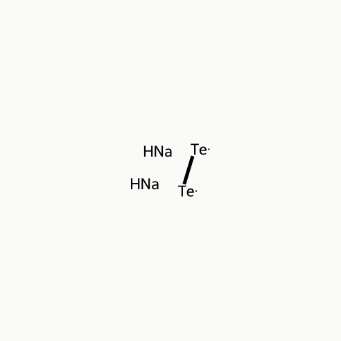 [NaH].[NaH].[Te][Te]